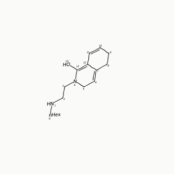 CCCCCCNCCN1CC=C2CCC=CC2=C1O